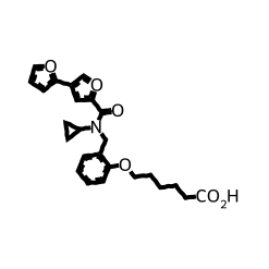 O=C(O)CCCCCOc1ccccc1CN(C(=O)c1cc(-c2ccco2)co1)C1CC1